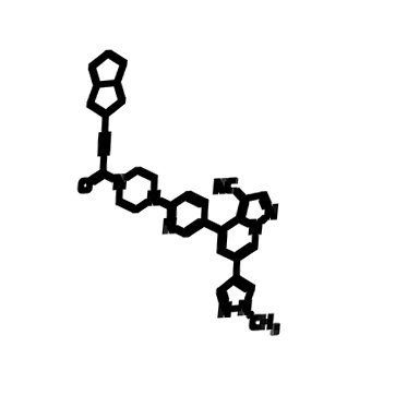 Cn1cc(-c2cc(-c3ccc(N4CCN(C(=O)C#CC5CC6CCCC6C5)CC4)nc3)c3c(C#N)cnn3c2)cn1